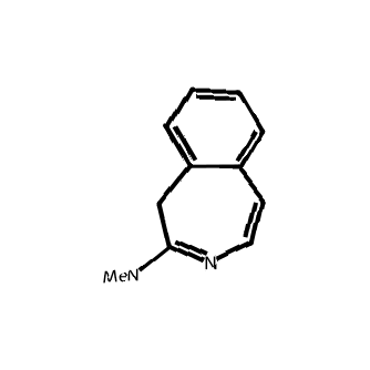 CNC1=NC=Cc2ccccc2C1